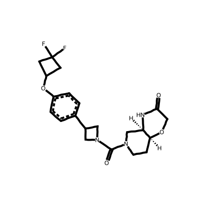 O=C1CO[C@H]2CCN(C(=O)N3CC(c4ccc(OC5CC(F)(F)C5)cc4)C3)C[C@H]2N1